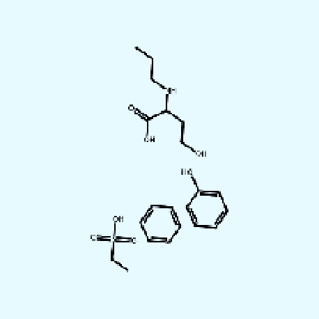 CCCNC(CCO)C(=O)O.CCS(=O)(=O)O.Oc1ccccc1.c1ccccc1